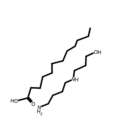 CCCCCCCCCCCC(=O)O.NCCCCNCCCO